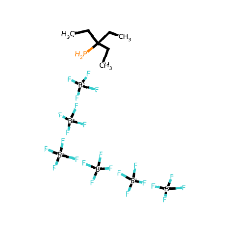 CCC(P)(CC)CC.F[B-](F)(F)F.F[B-](F)(F)F.F[B-](F)(F)F.F[B-](F)(F)F.F[B-](F)(F)F.F[B-](F)(F)F